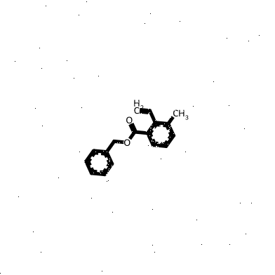 C=Cc1c(C)cccc1C(=O)OCc1ccccc1